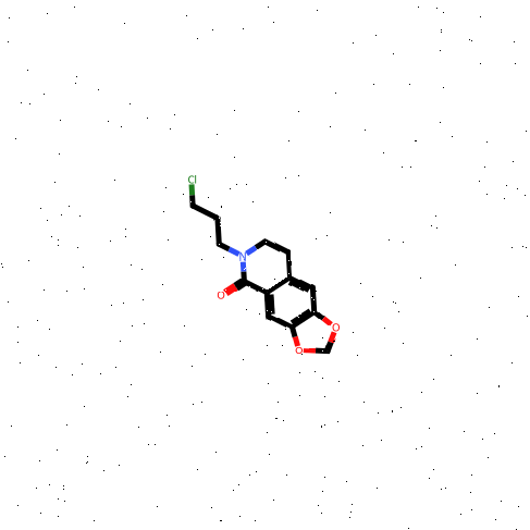 O=C1c2cc3c(cc2CCN1CCCCl)OCO3